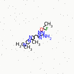 CCC[C@@H](CF)Oc1nc(N)c2ncc(Cc3cnc(N4CCC(N(C)C)CC4)c(C)c3)n2n1